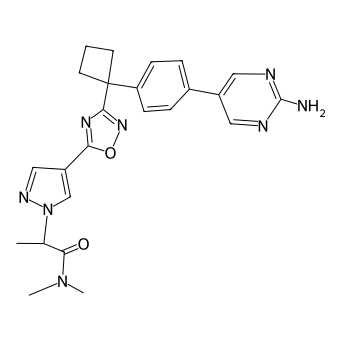 CC(C(=O)N(C)C)n1cc(-c2nc(C3(c4ccc(-c5cnc(N)nc5)cc4)CCC3)no2)cn1